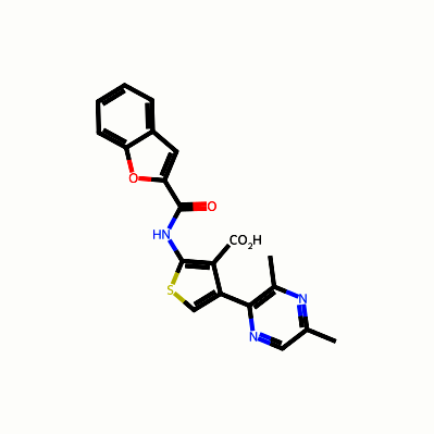 Cc1cnc(-c2csc(NC(=O)c3cc4ccccc4o3)c2C(=O)O)c(C)n1